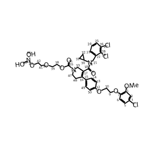 COc1cc(Cl)ccc1OCCOc1ccc(C2=C(C(=O)N(Cc3cccc(Cl)c3Cl)C3CC3)CN(C(=O)OCCOCCON(O)O)CC2)cc1